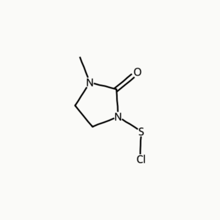 CN1CCN(SCl)C1=O